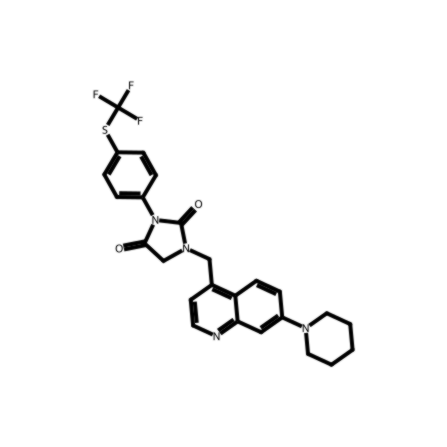 O=C1CN(Cc2ccnc3cc(N4CCCCC4)ccc23)C(=O)N1c1ccc(SC(F)(F)F)cc1